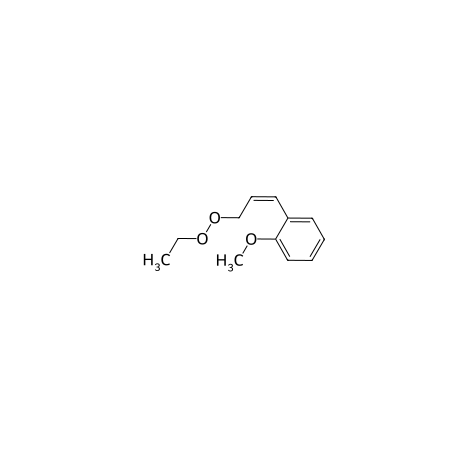 CCOOC/C=C\c1ccccc1OC